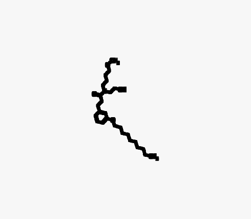 CCCCCCCCCCOc1cccc(CCC(=O)N(CCO)CCCCOC)c1